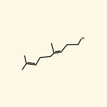 [CH2]C(C)CC/C=C(\C)CCC=C(C)C